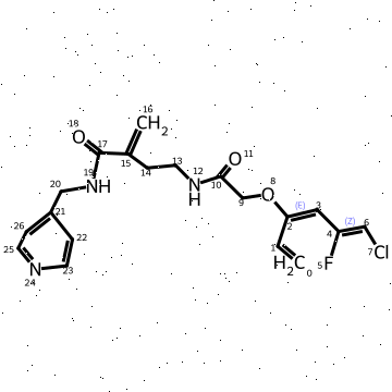 C=C/C(=C\C(F)=C\Cl)OCC(=O)NCCC(=C)C(=O)NCc1ccncc1